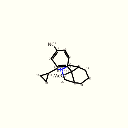 COC1(c2ccc(C#N)cc2)C2CCCC1CN(CC1CC1)C2